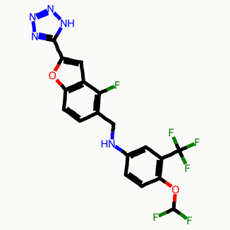 Fc1c(CNc2ccc(OC(F)F)c(C(F)(F)F)c2)ccc2oc(-c3nnn[nH]3)cc12